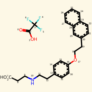 O=C(O)C(F)(F)F.O=C(O)CCNCCc1ccc(OCCc2ccc3ccccc3c2)cc1